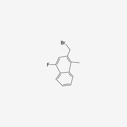 Cc1c(CBr)cc(F)c2ccccc12